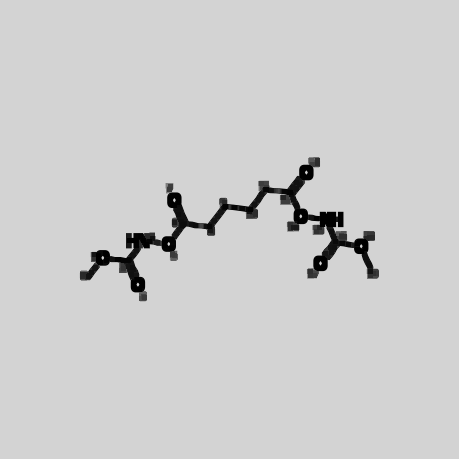 COC(=O)NOC(=O)CCCCC(=O)ONC(=O)OC